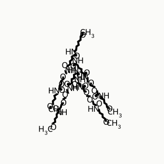 COCCCCCCNC(=O)CC(CCC(=O)NCCOCCOCC(=O)NCCCCCOC)NC(=O)CC(CCC(=O)NCCOCCOCC(=O)NCCCCCOC)NC(=O)CC(CCC(=O)NCCOCCOCCC(=O)NCCCCCOC)NC(=O)CNC(=O)COCCOCCC(=O)NCCCCCOC